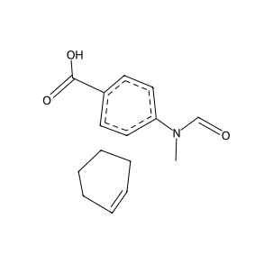 C1=CCCCC1.CN(C=O)c1ccc(C(=O)O)cc1